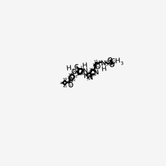 Cc1cc(Nc2ncnc3cnc(-c4ccc(CNCCS(C)(=O)=O)o4)cc23)ccc1OC1CCN(C(=O)C2CCC2)CC1